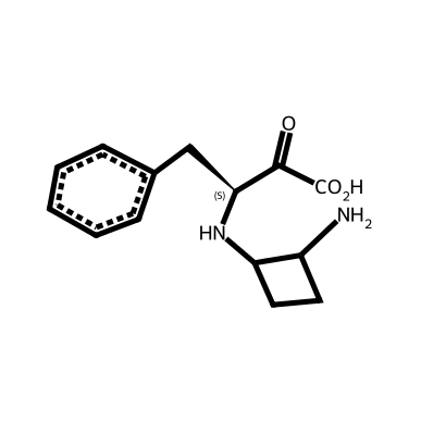 NC1CCC1N[C@@H](Cc1ccccc1)C(=O)C(=O)O